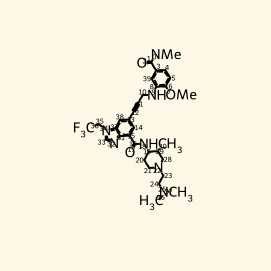 CNC(=O)c1ccc(OC)c(NCC#Cc2cc(C(=O)N[C@H]3CCN(CCN(C)C)C[C@@H]3C)c3ncn(CC(F)(F)F)c3c2)c1